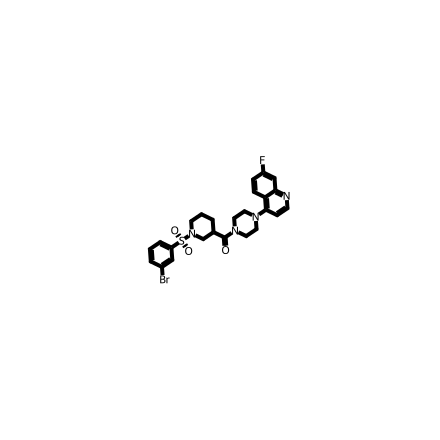 O=C(C1CCCN(S(=O)(=O)c2cccc(Br)c2)C1)N1CCN(c2ccnc3cc(F)ccc23)CC1